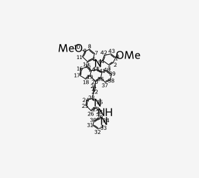 COc1ccc(N(c2ccc(OC)cc2)c2c3ccccc3c(C#Cc3cccc(Nc4ccccn4)n3)c3ccccc23)cc1